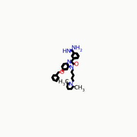 C[C@@H]1CCC[C@H](C)N1CCCCCn1c(=O)c(-c2cccc(C(=N)N)c2)nc2ccc(OCc3ccccc3)cc21